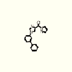 O=C(c1cn(-c2cccc(-c3ccccc3)c2)cn1)n1cccn1